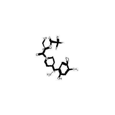 Cc1cc(O)c([C@H](N)C2CCN(C(=O)[C@@H](CO)OC(=O)C(F)(F)F)CC2)cc1Cl